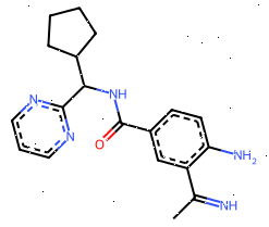 CC(=N)c1cc(C(=O)NC(c2ncccn2)C2CCCC2)ccc1N